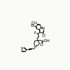 COc1ccc2ncc(Cl)c([C@@H](F)CCC3(CC(=O)O)CCN(CC#Cc4ccsc4)CC3)c2c1